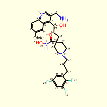 COc1ccc2ncc(CN)c([C@H](O)CCC3(C(=O)NO)CCN(CCCc4cc(F)cc(F)c4F)CC3)c2c1